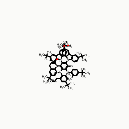 C=CCc1cc(C(C)(C)C)ccc1N(C)c1c(N(C)c2ccc(C(C)(C)C)cc2C)c(Br)c(-n2c3ccc(C(C)(C)C)cc3c3cc(C(C)(C)C)ccc32)c(-n2c3ccc(C(C)(C)C)cc3c3cc(C(C)(C)C)ccc32)c1N1C(C)=CCc2cc(C(C)(C)C)ccc21